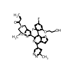 C=CC(=O)N1Cc2cc(-c3nc(-c4cnnc(C)c4)c4ccsc4c3-c3c(F)cc(F)cc3OCCO)nn2[C@@H](C)C1